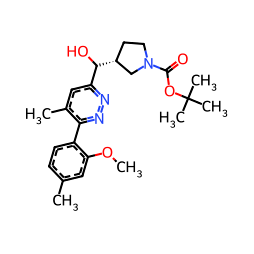 COc1cc(C)ccc1-c1nnc(C(O)[C@@H]2CCN(C(=O)OC(C)(C)C)C2)cc1C